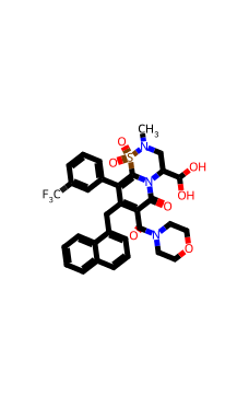 CN1CC(C(O)O)n2c(c(-c3cccc(C(F)(F)F)c3)c(Cc3cccc4ccccc34)c(C(=O)N3CCOCC3)c2=O)S1(=O)=O